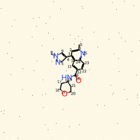 Cc1cc(-c2cnn(C)c2)c2cc(C(=O)NC3CCOCC3)ccc2n1